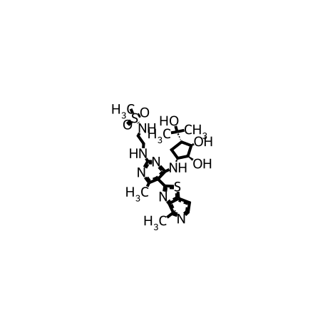 Cc1nc(NCCNS(C)(=O)=O)nc(N[C@@H]2C[C@H](C(C)(C)O)[C@@H](O)[C@H]2O)c1-c1nc2c(C)nccc2s1